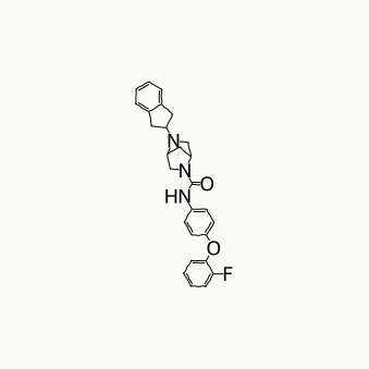 O=C(Nc1ccc(Oc2ccccc2F)cc1)N1CC2CC1CN2C1Cc2ccccc2C1